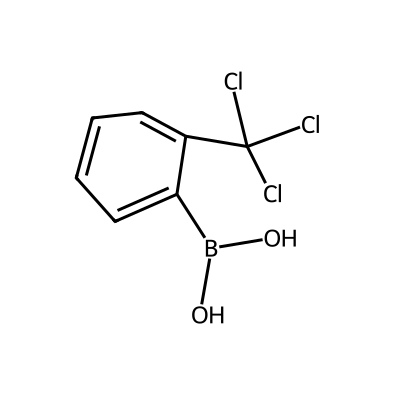 OB(O)c1ccccc1C(Cl)(Cl)Cl